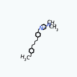 CCc1ccc(CCCCc2ccc(C[n+]3ccc(N(C)C)cc3)cc2)cc1